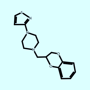 c1ccc2c(c1)OCC(CN1CCN(c3ccsn3)CC1)O2